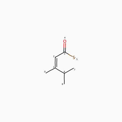 CC(=CC(=O)[S])C(C)C